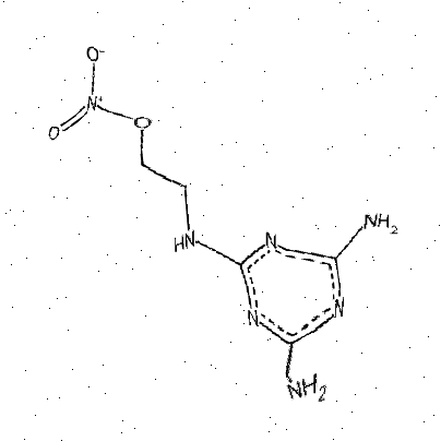 Nc1nc(N)nc(NCCO[N+](=O)[O-])n1